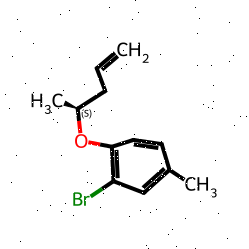 C=CC[C@H](C)Oc1ccc(C)cc1Br